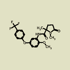 COc1ccc(Oc2ccc(C(F)(F)F)cc2)cc1NC(=O)C1(C)CCC(=O)N1C